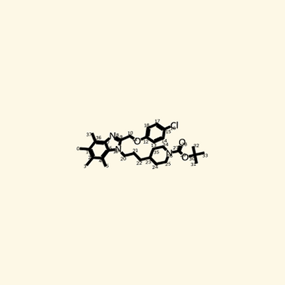 Cc1c(C)c(C)c2c(nc(COc3ccc(Cl)cc3)n2CCCC2CCN(C(=O)OC(C)(C)C)CC2)c1C